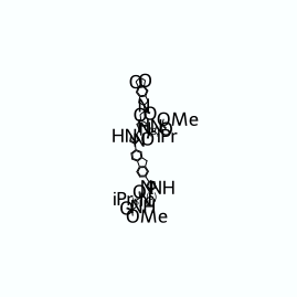 COC(=O)N[C@H](C(=O)N1CC(OC(=O)N2Cc3cc4c(cc3C2)OCO4)CC1c1nc(-c2ccc3c(c2)Cc2cc(-c4c[nH]c([C@@H]5CCCN5C(=O)[C@@H](NC(=O)OC)C(C)C)n4)ccc2-3)c[nH]1)C(C)C